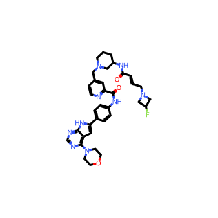 O=C(C=CCN1CC(F)C1)NC1CCCN(Cc2ccnc(C(=O)Nc3ccc(-c4cc5c(N6CCOCC6)ncnc5[nH]4)cc3)c2)C1